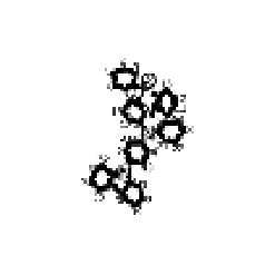 O=P(c1ccccc1)(c1ccccc1)c1cccc(N(c2ccccc2)c2ccc(-n3c4ccccc4c4ccccc43)cc2)n1